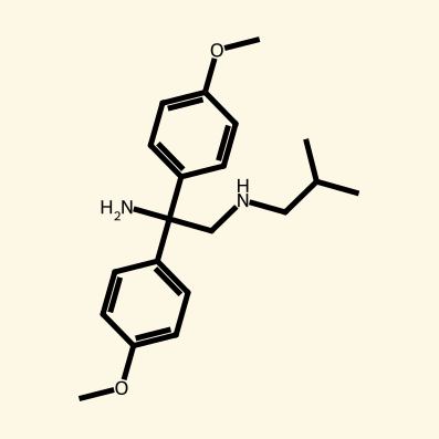 COc1ccc(C(N)(CNCC(C)C)c2ccc(OC)cc2)cc1